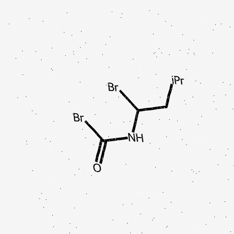 CC(C)CC(Br)NC(=O)Br